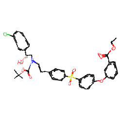 CCOC(=O)c1cccc(Oc2ccc(S(=O)(=O)c3ccc(CCN(C[C@H](O)c4cccc(Cl)c4)C(=O)OC(C)(C)C)cc3)cc2)c1